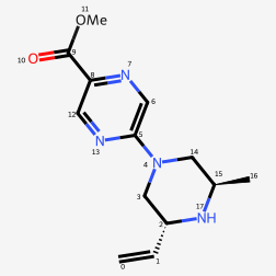 C=C[C@@H]1CN(c2cnc(C(=O)OC)cn2)C[C@@H](C)N1